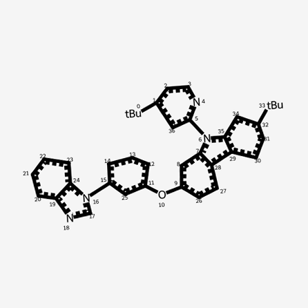 CC(C)(C)c1ccnc(-n2c3cc(Oc4cccc(-n5cnc6ccccc65)c4)ccc3c3ccc(C(C)(C)C)cc32)c1